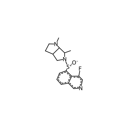 CC1C2C(CCN2C)CN1[S+]([O-])c1cccc2cncc(F)c12